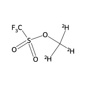 [2H]C([2H])([2H])OS(=O)(=O)C(F)(F)F